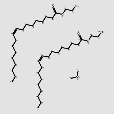 CCCCCCCC/C=C\CCCCCCCC(=O)OCCS.CCCCCCCC/C=C\CCCCCCCC(=O)OCCS.[CH3][Sn][CH3]